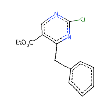 CCOC(=O)c1cnc(Cl)nc1Cc1ccccc1